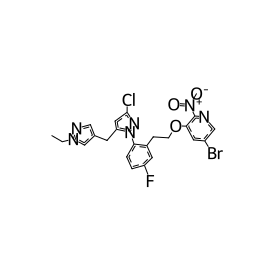 CCn1cc(Cc2cc(Cl)nn2-c2ccc(F)cc2CCOc2cc(Br)cnc2[N+](=O)[O-])cn1